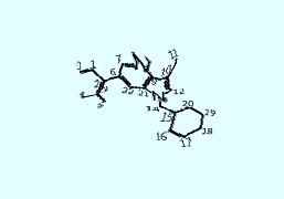 CCC(=C(C)C)c1cnc2c(C)cn(CC3CCCCC3)c2c1